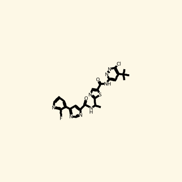 CC(NC(=O)c1cc(-c2cccnc2F)ncn1)c1ncc(C(=O)Nc2cc(C(C)(C)C)c(Cl)nn2)s1